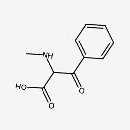 CNC(C(=O)O)C(=O)c1ccccc1